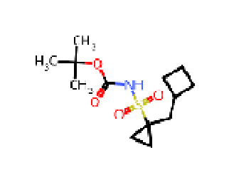 CC(C)(C)OC(=O)NS(=O)(=O)C1(CC2CCC2)CC1